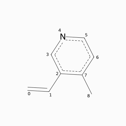 C=Cc1cnccc1C